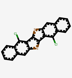 Clc1c2ccccc2cc2sc3c(sc4cc5ccccc5c(Cl)c43)c12